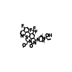 C=CC(O)N1[C@H](C)CN(c2nc(=O)n3c4c(c(-c5ccc(F)c6ccncc56)c(C(F)(F)F)cc24)SCC3COC)C[C@@H]1C